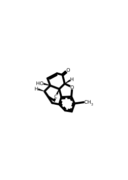 Cc1ccc2c3c1O[C@H]1C(=O)C=C[C@@]4(O)[C@H](CCC[C@]314)C2